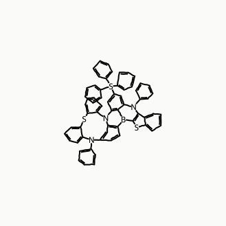 c1ccc(N2c3ccc4c(c3)N(c3ccccc3Sc3ccccc32)c2cc(S(c3ccccc3)(c3ccccc3)c3ccccc3)cc3c2B4c2sc4ccccc4c2N3c2ccccc2)cc1